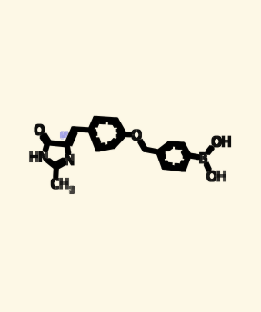 CC1=N/C(=C\c2ccc(OCc3ccc(B(O)O)cc3)cc2)C(=O)N1